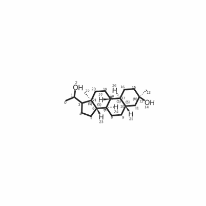 CC(O)C1CC[C@H]2[C@@H]3CC[C@H]4C[C@](C)(O)CC[C@@H]4[C@H]3CC[C@]12C